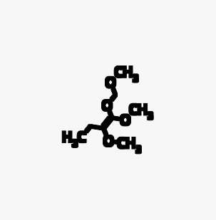 CCC(OC)=C(OC)OCOC